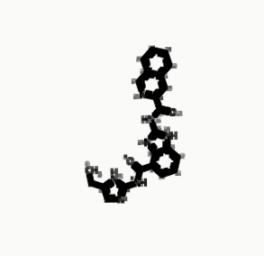 CCc1cnc(NC(=O)c2cccc3[nH]c(NC(=O)c4cc5ccccc5cn4)nc23)[nH]1